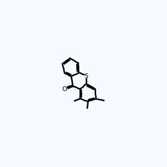 Cc1cc2sc3ccccc3c(=O)c2c(C)c1C